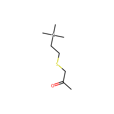 CC(=O)CSCC[Si](C)(C)C